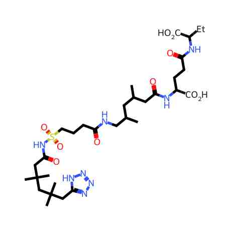 CCC(NC(=O)CCC(NC(=O)CC(C)CC(C)CNC(=O)CCCS(=O)(=O)NC(=O)CC(C)(C)CC(C)(C)Cc1nnn[nH]1)C(=O)O)C(=O)O